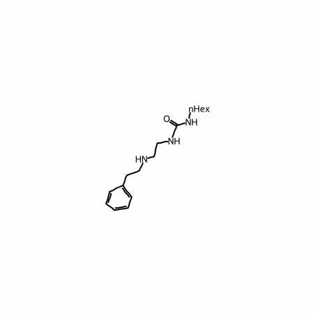 CCCCCCNC(=O)NCCNCCc1ccccc1